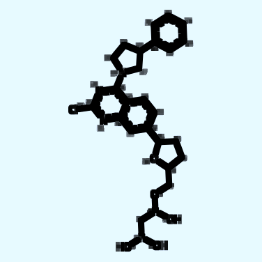 OP(O)CP(O)OCC1CCC(c2ccc3c(N4CCC(c5ccccc5)C4)nc(Cl)nc3c2)O1